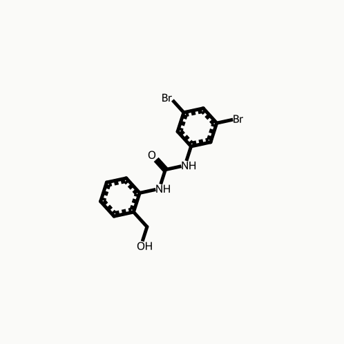 O=C(Nc1cc(Br)cc(Br)c1)Nc1ccccc1CO